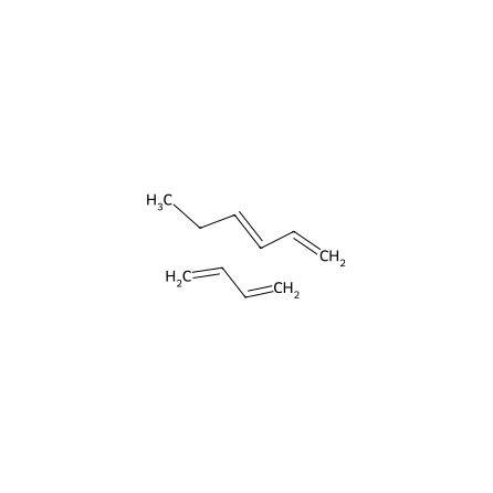 C=C/C=C/CC.C=CC=C